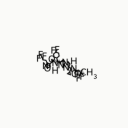 C[C@@H](CC(=O)N[C@H](c1ccn2cc([C@@H](NC(=O)c3conc3CCC(F)(F)F)C3CCC(F)(F)CC3)nc2n1)C1CC1)C(F)(F)F